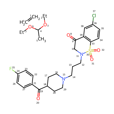 C=C.CCOC(C)OCC.O=C1CN(CCCN2CCC(C(=O)c3ccc(F)cc3)CC2)S(=O)(=O)c2ccc(Cl)cc21